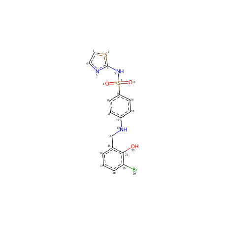 O=S(=O)(Nc1nccs1)c1ccc(NCc2cccc(Br)c2O)cc1